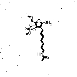 B[C@@H]1O[C@H](COC)C(OP(O)(=S)OC)[C@@H]1C/C=C/CCCCNC(C)=S